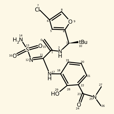 C=C(N[C@@H](c1cc(Cl)co1)C(C)(C)C)/C(=N\S(N)(=O)=O)Nc1cccc(C(=O)N(C)C)c1O